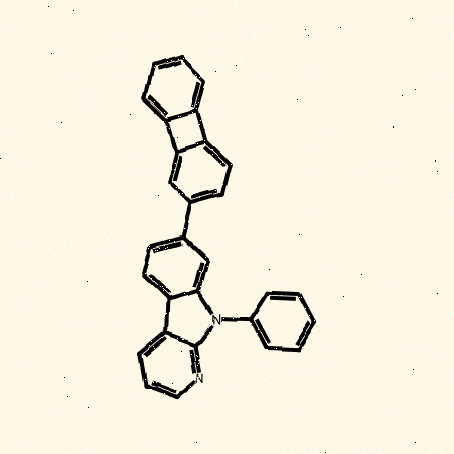 c1ccc(-n2c3cc(-c4ccc5c(c4)-c4ccccc4-5)ccc3c3cccnc32)cc1